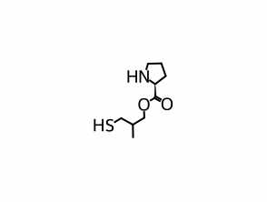 CC(CS)COC(=O)[C@@H]1CCCN1